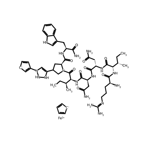 CC[C@H](C)[C@H](NC(=O)[C@@H](N)CCCN=C(N)N)C(=O)N[C@@H](CC(N)=O)C(=O)N[C@@H](CC(N)=O)C(=O)N[C@H](C(=O)N1CC(C2=CN(c3cc[cH-]c3)NN2)C[C@H]1C(=O)N[C@@H](Cc1c[nH]c2ccccc12)C(N)=O)[C@@H](C)CC.[Fe+2].c1cc[cH-]c1